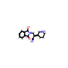 N#C/C(CN1C(=O)c2ccccc2C1=O)=C1\CCCNC1